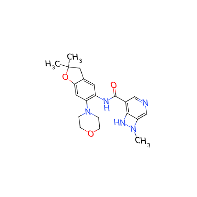 Cn1[nH]c2c(C(=O)Nc3cc4c(cc3N3CCOCC3)OC(C)(C)C4)cncc21